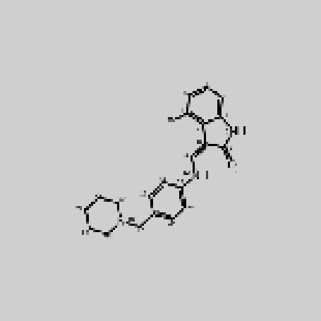 O=C1Nc2cccc(F)c2/C1=C/Nc1ccc(CN2CCCCC2)cc1